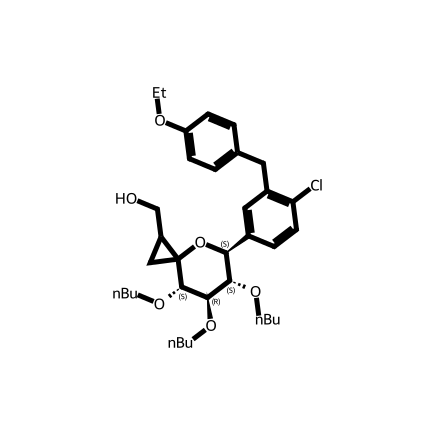 CCCCO[C@@H]1[C@@H](OCCCC)[C@H](OCCCC)C2(CC2CO)O[C@H]1c1ccc(Cl)c(Cc2ccc(OCC)cc2)c1